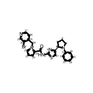 O=C(Nc1nc([C@H]2CCCN2c2ccccc2)cs1)c1cccn1Cc1ccncc1Br